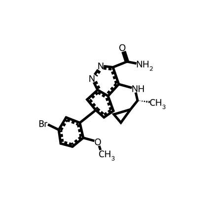 COc1ccc(Br)cc1-c1ccc2c(N[C@H](C)C3CC3)c(C(N)=O)nnc2c1